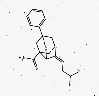 NC(=S)C12CC3CC(c4ccccc4)(CC1/C3=C\CC(F)F)C2